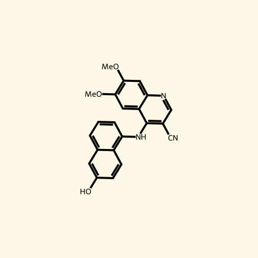 COc1cc2ncc(C#N)c(Nc3cccc4cc(O)ccc34)c2cc1OC